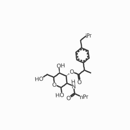 CCCC(=O)NC1C(O)OC(CO)[C@@H](O)[C@@H]1OC(=O)C(C)c1ccc(CC(C)C)cc1